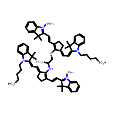 CCCCC[N+]1=C(/C=C/C2=C(NC(CSC3=C(/C=C/C4=[N+](CCCCC)c5ccccc5C4(C)C)CC/C3=C\C=C3\N(CCCCS(=O)(=O)O)c4ccccc4C3(C)C)C(=O)O)C(=C/C=C3/N(CCCCS(=O)(=O)O)c4ccccc4C3(C)C)/CC2)C(C)(C)c2ccccc21